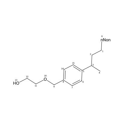 CCCCCCCCCCCC(C)c1ccc(COCCO)cc1